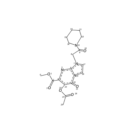 COC(=O)c1nc2n(CC(=O)N3CCCCC3)ccn2c(=O)c1OC(C)=O